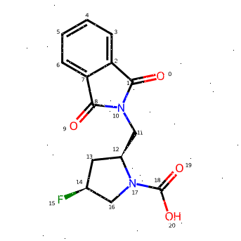 O=C1c2ccccc2C(=O)N1C[C@@H]1C[C@H](F)CN1C(=O)O